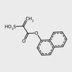 C=C(C(=O)Oc1cccc2ccccc12)S(=O)(=O)O